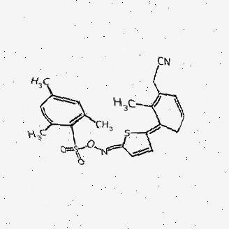 CC1=C(CC#N)C=CCC1=C1C=CC(=NOS(=O)(=O)c2c(C)cc(C)cc2C)S1